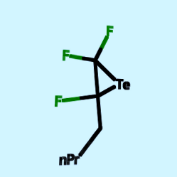 CCCCC1(F)[Te]C1(F)F